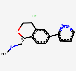 CNC[C@@H]1OCCc2cc(-c3cccnn3)ccc21.Cl